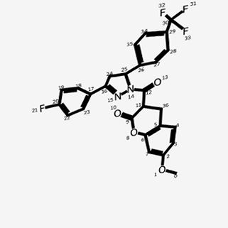 COc1ccc2c(c1)OC(=O)C(C(=O)N1N=C(c3ccc(F)cc3)CC1c1ccc(C(F)(F)F)cc1)C2